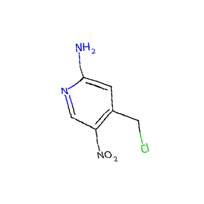 Nc1cc(CCl)c([N+](=O)[O-])cn1